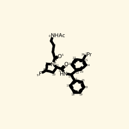 CC(=O)NCCCC(=O)N1CC(F)CC1C(=O)NC(c1ccccc1)c1ccc(C(C)C)cc1